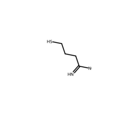 [N]C(=N)CCCS